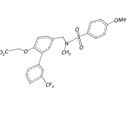 COc1ccc(S(=O)(=O)N(C)Cc2ccc(OCC(=O)O)c(-c3cccc(C(F)(F)F)c3)c2)cc1